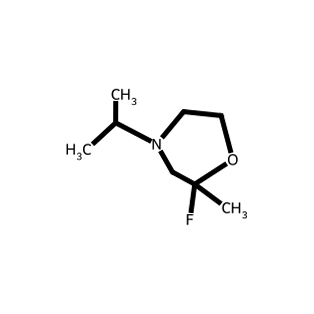 CC(C)N1CCOC(C)(F)C1